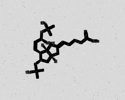 CCCCC[C@@H](/C=C\[C@H]1[C@H]2C/C(=C/CCCC(=O)OC)C[C@H]2C[C@H]1O[Si](C)(C)C(C)(C)C)O[Si](C)(C)C(C)(C)C